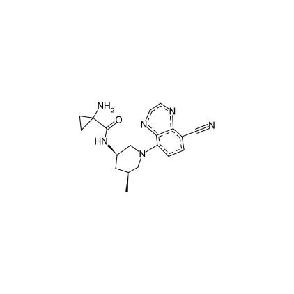 C[C@H]1C[C@@H](NC(=O)C2(N)CC2)CN(c2ccc(C#N)c3nccnc23)C1